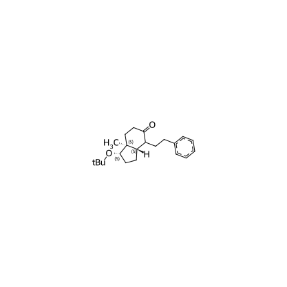 CC(C)(C)O[C@H]1CC[C@H]2C(CCc3ccccc3)C(=O)CC[C@]12C